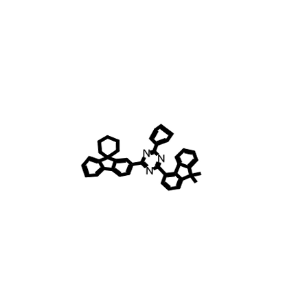 CC1(C)c2ccccc2-c2c(-c3nc(-c4ccccc4)nc(-c4ccc5c(c4)C4(CCCCC4)c4ccccc4-5)n3)cccc21